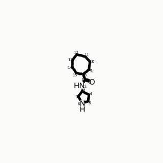 O=C(N[C@@H]1CCNC1)C1CCCCCCC1